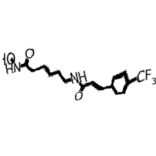 O=C(/C=C/c1ccc(C(F)(F)F)cc1)NCCCCCC(=O)NO